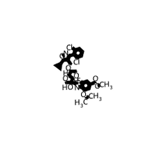 COC(=O)c1cc(OC(C)C)c2nc([C@@]3(O)CO[C@@H]4[C@H](OCc5c(-c6c(Cl)cccc6Cl)noc5C5CC5)CO[C@@H]43)sc2c1